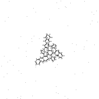 C1=C2c3c4cc5ccccc5cc4cc4c5scc6c7c8ccccc8cc8c9scc%10c%11c%12cc%13ccccc%13cc%12cc%12c%11c%11c(c(c34)c(c65)c(c87)c%11c%109)C2C%12S1